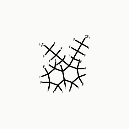 FC(F)(F)C(F)(F)C(F)(F)C(F)(F)C1(C(F)(F)C(F)(F)C(F)(F)C(F)(F)F)C(F)(F)C(F)(F)C(F)(F)C2(F)C(F)(F)C(F)(F)C(F)(F)C(F)(F)C21F